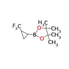 CC1(C)OB(C2CC2C(F)(F)F)OC1(C)C